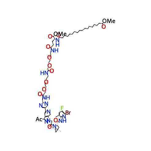 COC(=O)CCCCCCCCCCCCCCCCC(=O)N[C@@H](CCC(=O)NCCOCCOCC(=O)NCCOCCOCC(=O)NCc1ncc(-c2cc3c(C(C)=O)nn(CC(=O)N4C5C[C@]5(C)C[C@H]4C(=O)Nc4nc(Br)c(F)cc4C)c3cn2)cn1)C(=O)OC